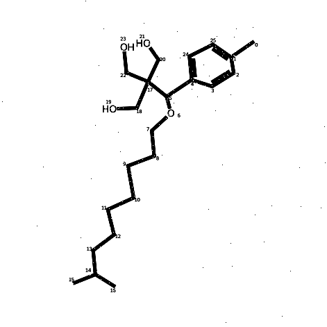 Cc1ccc(C(OCCCCCCCC(C)C)C(CO)(CO)CO)cc1